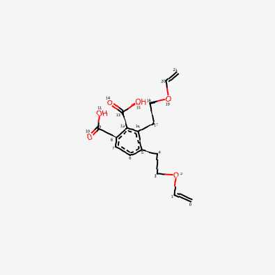 C=COCCc1ccc(C(=O)O)c(C(=O)O)c1CCOC=C